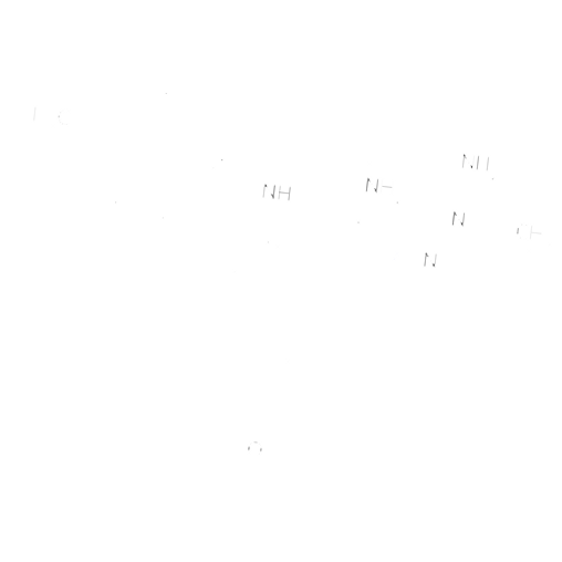 Cc1ccc(Nc2ccc(C=O)cc2/C(N)=N/N(C)N)cc1